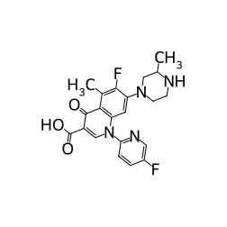 Cc1c(F)c(N2CCNC(C)C2)cc2c1c(=O)c(C(=O)O)cn2-c1ccc(F)cn1